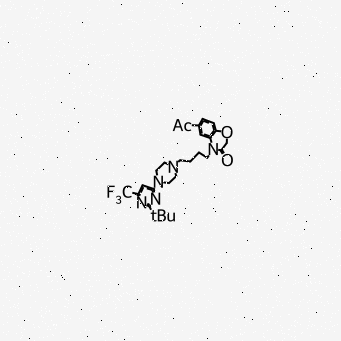 CC(=O)c1ccc2c(c1)N(CCCCN1CCN(c3cc(C(F)(F)F)nc(C(C)(C)C)n3)CC1)C(=O)CO2